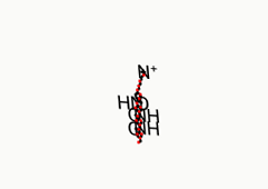 CCc1ccc(C(=O)Nc2ccc(C(=O)Nc3ccc(NC(=O)c4ccc(CCCCCCCC[N+](C)(C)C)cc4)cc3)cc2)cc1